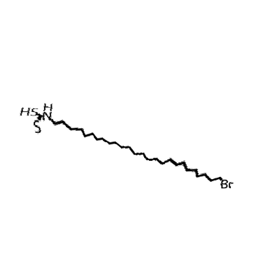 S=C(S)NCCCCCCCCCCCCCCCCCCCCCCCCCCBr